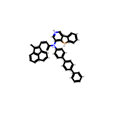 C=C(/C=C\C1=C(C)c2cccc3cccc1c23)N(c1ccc(-c2ccc(-c3ccccc3)cc2)cc1)c1cncc2c1sc1ccccc12